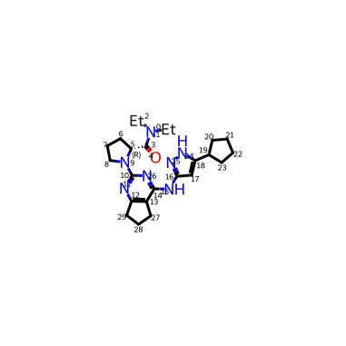 CCN(CC)C(=O)[C@H]1CCCN1c1nc2c(c(Nc3cc(C4CCCC4)[nH]n3)n1)CCC2